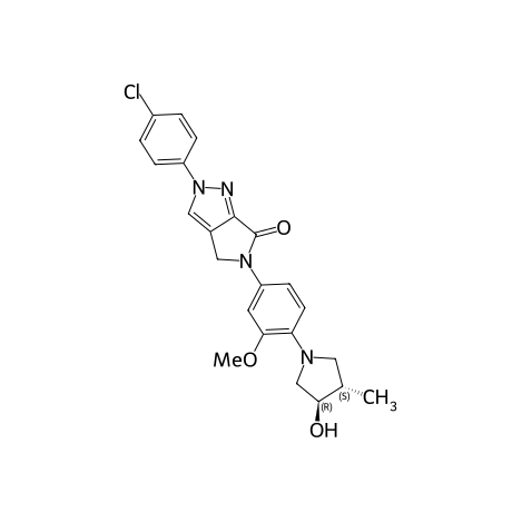 COc1cc(N2Cc3cn(-c4ccc(Cl)cc4)nc3C2=O)ccc1N1C[C@H](C)[C@@H](O)C1